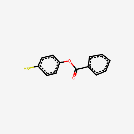 O=C(Oc1ccc(S)cc1)c1ccccc1